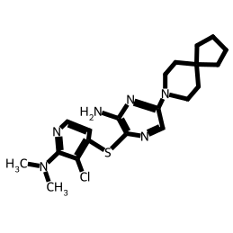 CN(C)c1nccc(Sc2ncc(N3CCC4(CCCC4)CC3)nc2N)c1Cl